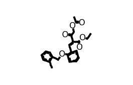 CCOC(=O)C(=Cc1ccccc1OCc1ccccc1C)C(=O)COC(C)=O